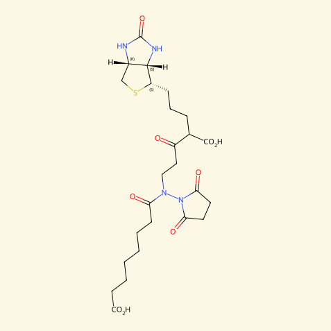 O=C(O)CCCCCCC(=O)N(CCC(=O)C(CCC[C@@H]1SC[C@@H]2NC(=O)N[C@@H]21)C(=O)O)N1C(=O)CCC1=O